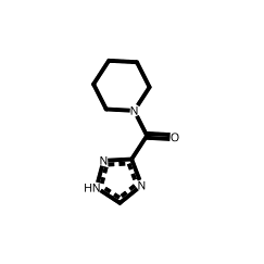 O=C(c1nc[nH]n1)N1CCCCC1